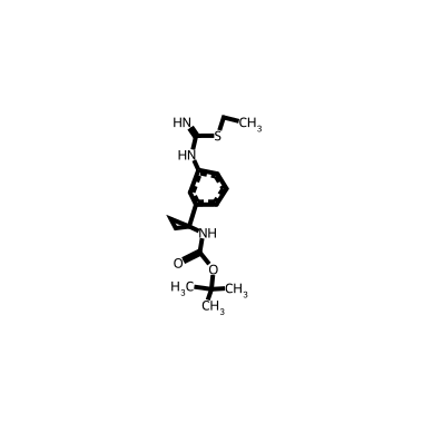 CCSC(=N)Nc1cccc(C2(NC(=O)OC(C)(C)C)CC2)c1